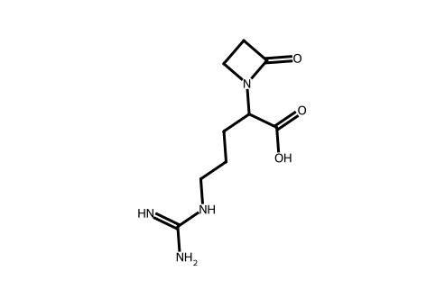 N=C(N)NCCCC(C(=O)O)N1CCC1=O